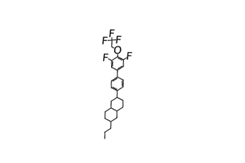 CCCC1CCC2CC(c3ccc(-c4cc(F)c(OCC(F)(F)F)c(F)c4)cc3)CCC2C1